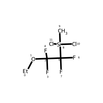 CCOC(F)(F)C(F)(F)[Si](C)(Cl)Cl